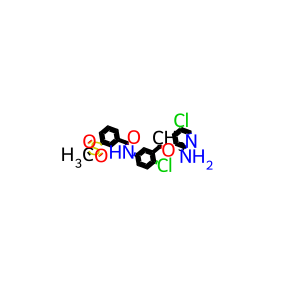 CC(Oc1cc(Cl)cnc1N)c1cc(NC(=O)c2cccc(S(C)(=O)=O)c2)ccc1Cl